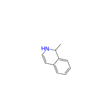 C[C]1NC=Cc2ccccc21